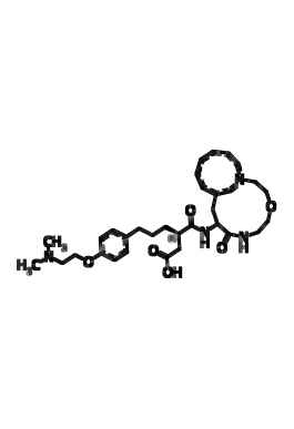 CN(C)CCOc1ccc(CCC[C@H](CC(=O)O)C(=O)NC2Cc3ccccccn(c3)CCOCCNC2=O)cc1